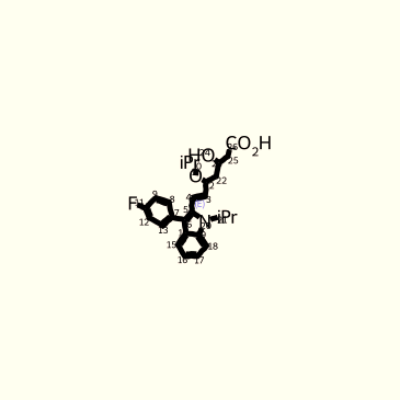 CC(C)OC(/C=C/c1c(-c2ccc(F)cc2)c2ccccc2n1C(C)C)CC(O)CC(=O)O